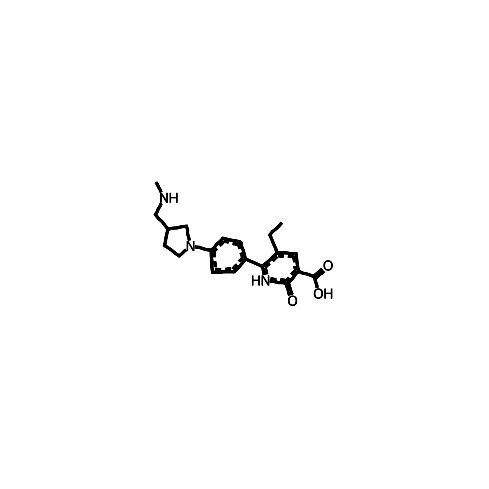 CCc1cc(C(=O)O)c(=O)[nH]c1-c1ccc(N2CCC(CNC)C2)cc1